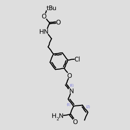 C\C=C/C(=C\N=C\Oc1ccc(CCNC(=O)OC(C)(C)C)cc1Cl)C(N)=O